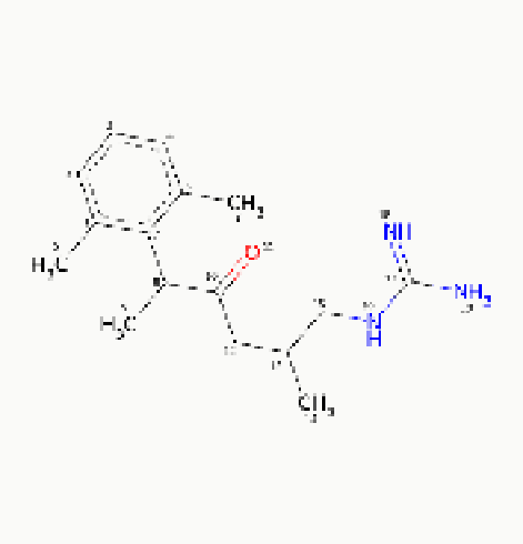 Cc1cccc(C)c1C(C)C(=O)CC(C)CNC(=N)N